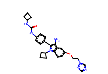 Nc1c(-c2ccc(NC(=O)NC3CCC3)cc2)n(C2CCC2)c2ccc(OCCn3cncn3)cc12